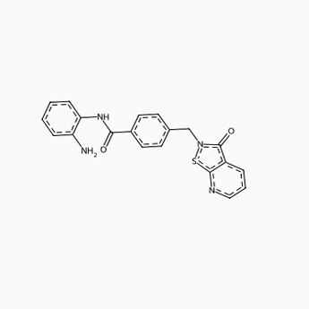 Nc1ccccc1NC(=O)c1ccc(Cn2sc3ncccc3c2=O)cc1